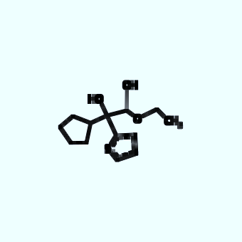 CCOC(O)C(O)(c1cccs1)C1CCCC1